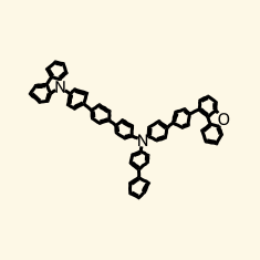 c1ccc(-c2ccc(N(c3ccc(-c4ccc(-c5ccc(-n6c7ccccc7c7ccccc76)cc5)cc4)cc3)c3ccc(-c4ccc(-c5cccc6oc7ccccc7c56)cc4)cc3)cc2)cc1